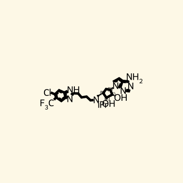 CC(C)N(CCCCc1nc2cc(C(F)(F)F)c(Cl)cc2[nH]1)C[C@H]1C[C@@H](n2ccc3c(N)ncnc32)[C@H](O)[C@@H]1O